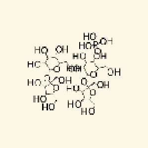 O=P(O)(O)O.OC[C@H]1O[C@@](CO)(O[C@H]2O[C@H](CO)[C@@H](O)[C@H](O)[C@H]2O)[C@@H](O)[C@@H]1O.OC[C@H]1O[C@@](CO)(O[C@H]2O[C@H](CO)[C@@H](O)[C@H](O)[C@H]2O)[C@@H](O)[C@@H]1O